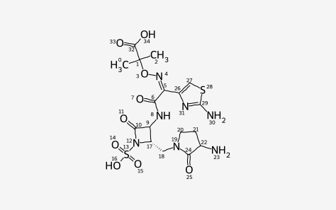 CC(C)(O/N=C(\C(=O)NC1C(=O)N(S(=O)(=O)O)[C@H]1CN1CCC(N)C1=O)c1csc(N)n1)C(=O)O